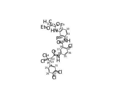 CCO[C@H](C)C(=O)Nc1c(F)ccc(NC(=O)c2cc(NC(=O)C3[C@H](c4ccc(Cl)c(Cl)c4)C3(Cl)Cl)ccc2Cl)c1F